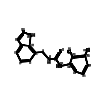 S=C(NCc1cccc2cn[nH]c12)Nc1cccc(Cl)c1Cl